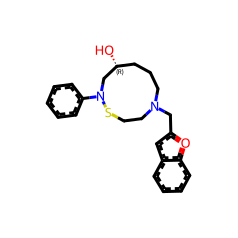 O[C@@H]1CCCN(Cc2cc3ccccc3o2)CCSN(c2ccccc2)C1